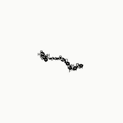 O=C1CCC(N2C(=O)c3cccc(NCCOCCOCCNC(=O)N4CCN(C(=O)Cc5ccc(Nc6ncc(F)c(Nc7ccc(C(=O)Nc8ccccc8Cl)cc7)n6)cc5)CC4)c3C2=O)C(=O)N1